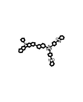 c1ccc(-n2c3cc4ccccc4cc3c3cc4cc(-c5ccc6cc(-c7nc(-c8ccc(-c9nc%10ccccc%10o9)cc8)nc(-c8ccc(-c9nc%10ccccc%10o9)cc8)n7)ccc6c5)ccc4cc32)cc1